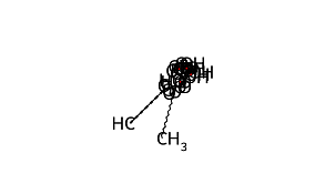 C#CC#CC#CC#CC#CC#CC#CC(=O)OC[C@H](COP(=O)(O)OC1C(O)[C@@H](OP(=O)(O)O)C(OP(=O)(O)O)[C@@H](OP(=O)(O)O)[C@H]1O)OC(=O)CCCCCCCCCCCCCCC